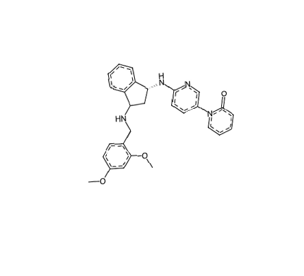 COc1ccc(CNC2C[C@@H](Nc3ccc(-n4ccccc4=O)cn3)c3ccccc32)c(OC)c1